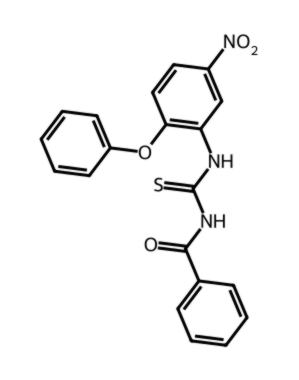 O=C(NC(=S)Nc1cc([N+](=O)[O-])ccc1Oc1ccccc1)c1ccccc1